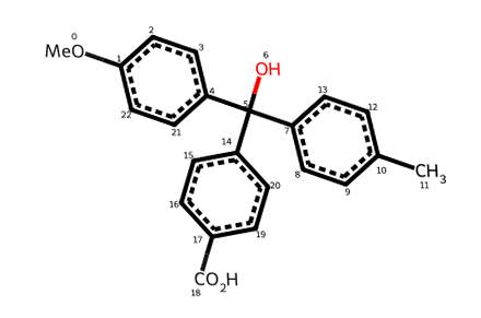 COc1ccc(C(O)(c2ccc(C)cc2)c2ccc(C(=O)O)cc2)cc1